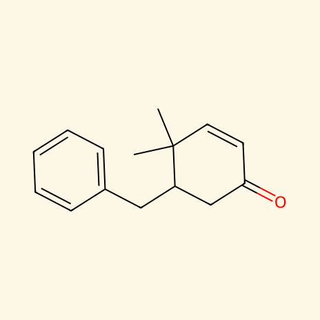 CC1(C)C=CC(=O)CC1Cc1ccccc1